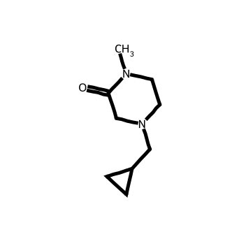 CN1CCN(CC2CC2)CC1=O